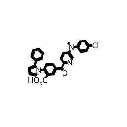 CN(c1ccc(Cl)cc1)c1ccc(C(=O)c2ccc(-n3cccc3-c3ccccc3)c(C(=O)O)c2)nc1